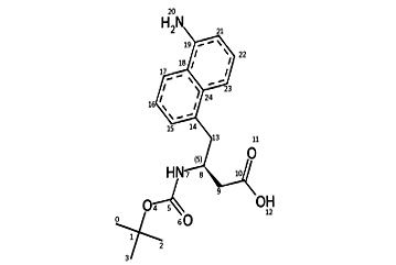 CC(C)(C)OC(=O)N[C@H](CC(=O)O)Cc1cccc2c(N)cccc12